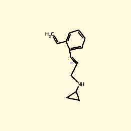 C=Cc1ccccc1/C=C/CNC1CC1